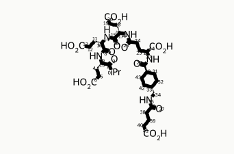 CC(C)C(=O)[C@H](CCC(=O)O)NC(=O)[C@H](CCC(=O)O)NC(=O)[C@H](CCC(=O)O)NC(=O)CCC(NC(=O)[C@H]1CC[C@H](CNC(=O)CCCC(=O)O)CC1)C(=O)O